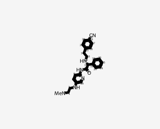 CNCCNc1ccc(NC(=O)C(NCCc2ccc(C#N)cc2)c2ccccc2)nc1